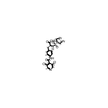 COC(=O)[C@H](Cc1ccc(NC(=O)c2c(Cl)cncc2Cl)cc1)NS(=O)(=O)N(CC(C)C)CC(C)C